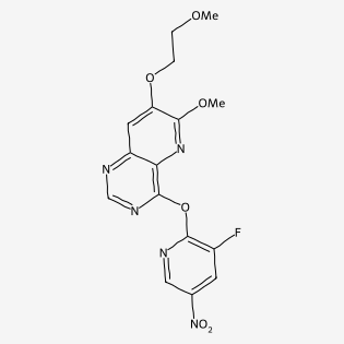 COCCOc1cc2ncnc(Oc3ncc([N+](=O)[O-])cc3F)c2nc1OC